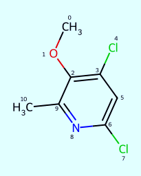 COc1c(Cl)cc(Cl)nc1C